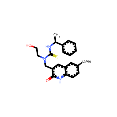 COc1ccc2[nH]c(=O)c(CN(CCO)C(=S)NC(C)c3ccccc3)cc2c1